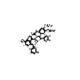 COc1ccc(Cc2nc3sc4c(O)ccc(Cc5ccccc5)c4c3c(=O)n2CCc2cccs2)cc1OC